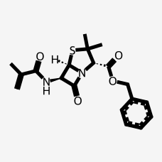 C=C(C)C(=O)N[C@@H]1C(=O)N2[C@@H]1SC(C)(C)[C@@H]2C(=O)OCc1ccccc1